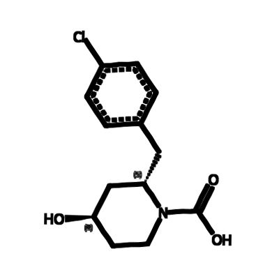 O=C(O)N1CC[C@@H](O)C[C@@H]1Cc1ccc(Cl)cc1